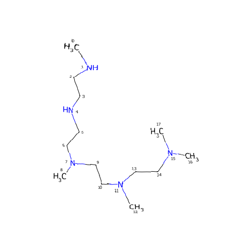 CNCCNCCN(C)CCN(C)CCN(C)C